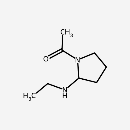 CCNC1CCCN1C(C)=O